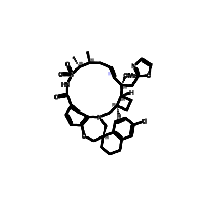 CO[C@@]1(Cc2ncco2)/C=C/C[C@H](C)[C@@H](C)S(=O)(=O)NC(=O)c2ccc3c(c2)N(C[C@@H]2CC[C@H]21)C[C@@]1(CCCc2cc(Cl)ccc21)CO3